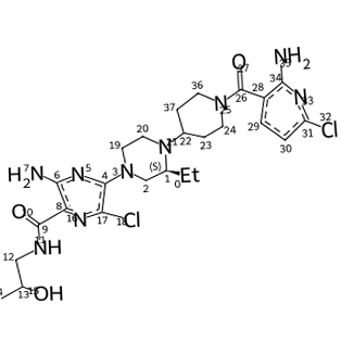 CC[C@H]1CN(c2nc(N)c(C(=O)NCC(C)O)nc2Cl)CCN1C1CCN(C(=O)c2ccc(Cl)nc2N)CC1